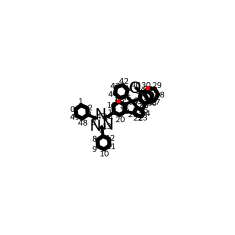 c1ccc(-c2nc(-c3ccccc3)nc(-c3ccc4c(c3)-c3cccc(-c5ccccc5)c3C43c4ccccc4Oc4ccccc43)n2)cc1